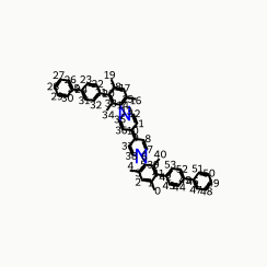 Cc1cc(C)c(N2C=CC(=C3C=CN(c4c(C)cc(C)c(-c5ccc(-c6ccccc6)cc5)c4C)C=C3)C=C2)c(C)c1-c1ccc(-c2ccccc2)cc1